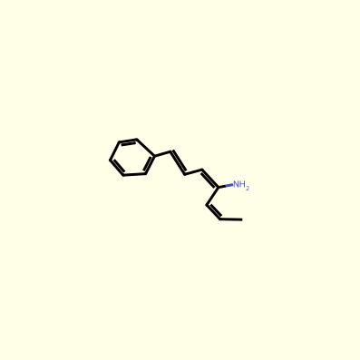 C\C=C/C(N)=C\C=C\c1ccccc1